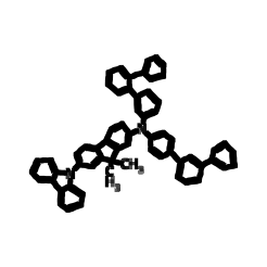 CC1(C)c2cc(N(c3ccc(-c4cccc(-c5ccccc5)c4)cc3)c3cccc(-c4ccccc4-c4ccccc4)c3)ccc2-c2ccc(-n3c4ccccc4c4ccccc43)cc21